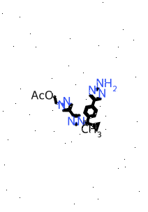 CC(=O)OCCn1cc(-c2cn([C@@](C)(c3ccc(-c4cnc(N)nc4)cc3)C3CC3)cn2)cn1